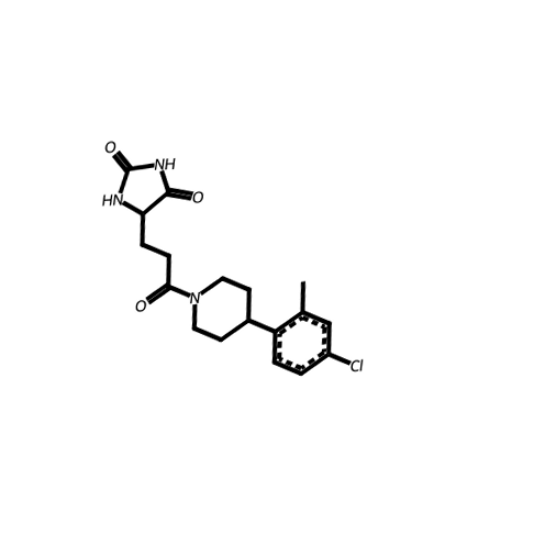 Cc1cc(Cl)ccc1C1CCN(C(=O)CCC2NC(=O)NC2=O)CC1